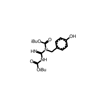 CC(C)COC(=O)NC(=N)N(Cc1ccc(O)cc1)C(=O)OCC(C)C